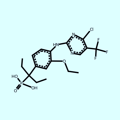 CCOc1cc(C(CC)(CC)P(=O)(O)O)ccc1Nc1ncc(C(F)(F)F)c(Cl)n1